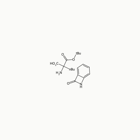 CCCCC(N)(C(=O)O)C(=O)OC(C)(C)C.O=C1Nc2ccccc21